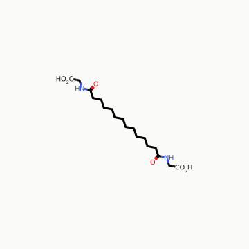 O=C(O)CNC(=O)CCCCCCCCCCCCC(=O)NCC(=O)O